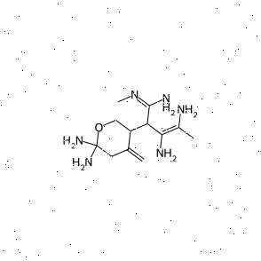 C=C1CC(N)(N)OCC1C(/C(N)=N\C)/C(N)=C(/C)N